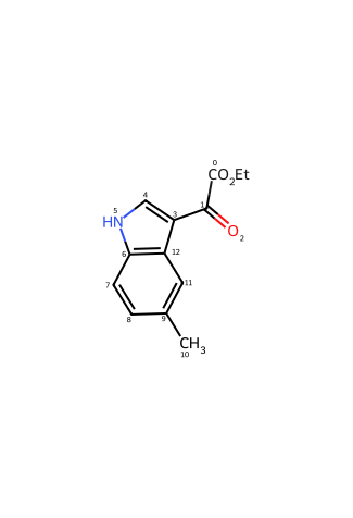 CCOC(=O)C(=O)c1c[nH]c2ccc(C)cc12